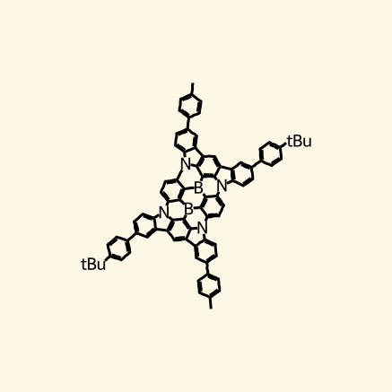 Cc1ccc(-c2ccc3c(c2)c2cc4c5cc(-c6ccc(C(C)(C)C)cc6)ccc5n5c4c4c2n3-c2ccc3c6c2B4c2c-5ccc4c2B6c2c5c(cc6c7cc(-c8ccc(C(C)(C)C)cc8)ccc7n-3c26)c2cc(-c3ccc(C)cc3)ccc2n5-4)cc1